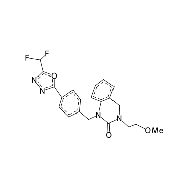 COCCN1Cc2ccccc2N(Cc2ccc(-c3nnc(C(F)F)o3)cc2)C1=O